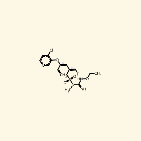 C=C/C(=C\C(=C\F)CS(=O)(=O)N(C)C(=N)NOCC)Oc1cnccc1Cl